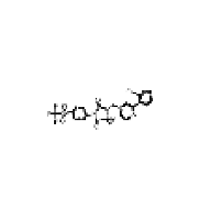 O=C1N(c2ccc(S(=O)(=O)C(F)(F)F)cc2)C(=O)C2(CC2)N1Cc1ccnc(-c2ccccc2Cl)c1